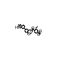 CCc1cc(S(C)(=O)=O)ccc1C(=O)N1CCOc2ccc(-c3ccc4cn[nH]c4c3)cc2C1